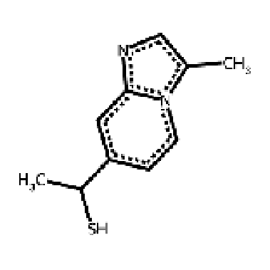 Cc1cnc2cc(C(C)S)ccn12